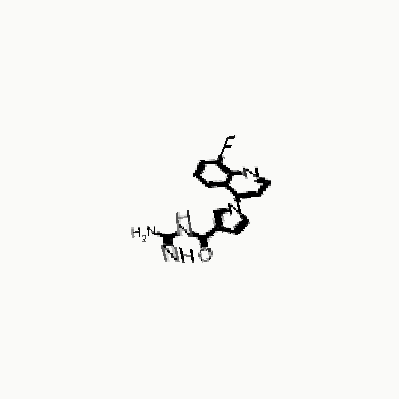 N=C(N)NC(=O)c1ccn(-c2ccnc3c(F)cccc23)c1